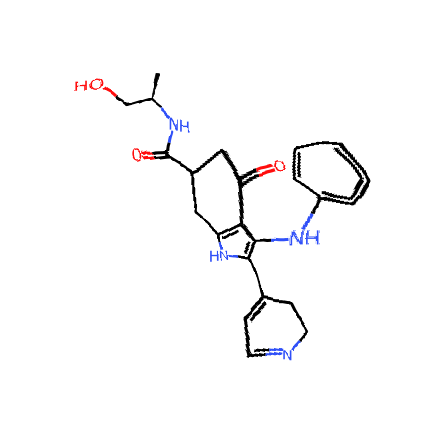 C[C@H](CO)NC(=O)C1CC(=O)c2c([nH]c(C3=CC=NCC3)c2NC2=C=C=CC=C2)C1